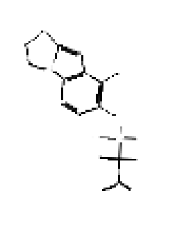 CC(C)C(C)(C)[Si](C)(C)Oc1ccc2c(cc3n2CCC3)c1F